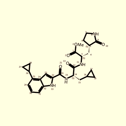 COC(=O)[C@H](C[C@@H]1CCNC1=O)NC(=O)[C@H](CC1CC1)NC(=O)c1cc2c(C3CC3)cccc2[nH]1